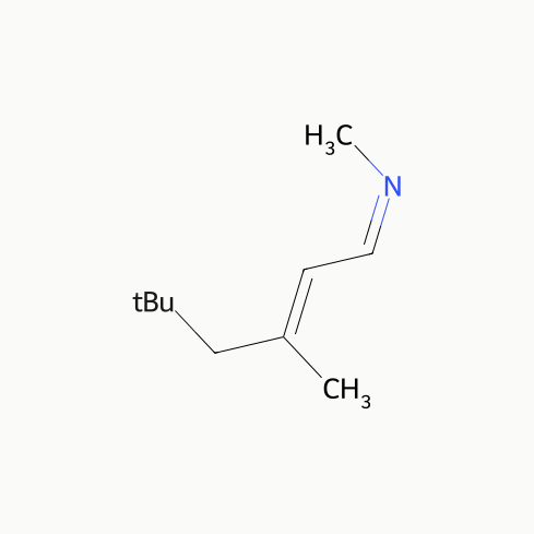 C/N=C\C=C(/C)CC(C)(C)C